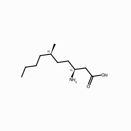 CCCC[C@@H](C)CC[C@H](N)CC(=O)O